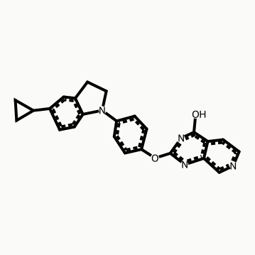 Oc1nc(Oc2ccc(N3CCc4cc(C5CC5)ccc43)cc2)nc2cnccc12